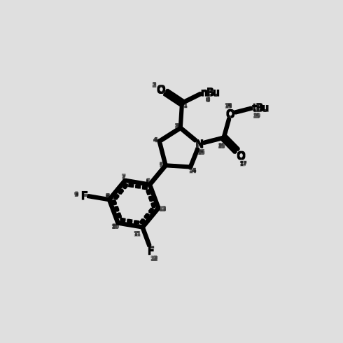 CCCCC(=O)C1CC(c2cc(F)cc(F)c2)CN1C(=O)OC(C)(C)C